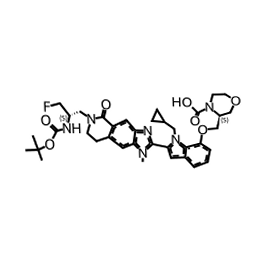 Cn1c(-c2cc3cccc(OC[C@@H]4COCCN4C(=O)O)c3n2CC2CC2)nc2cc3c(cc21)CCN(C[C@@H](CF)NC(=O)OC(C)(C)C)C3=O